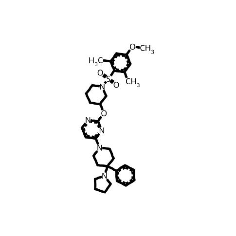 COc1cc(C)c(S(=O)(=O)N2CCCC(Oc3nccc(N4CCC(c5ccccc5)(N5CCCC5)CC4)n3)C2)c(C)c1